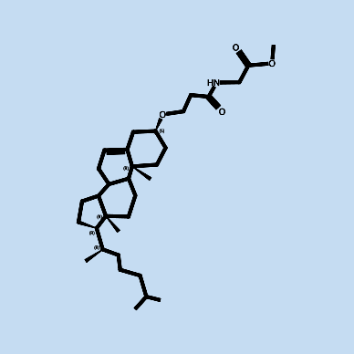 COC(=O)CNC(=O)CCO[C@H]1CC[C@@]2(C)C(=CCC3C2CC[C@@]2(C)C3CC[C@@H]2[C@H](C)CCCC(C)C)C1